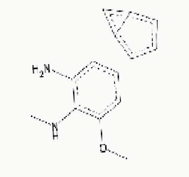 CNc1c(N)cccc1OC.c1cc2cc-2c1